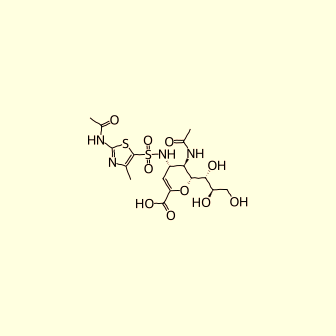 CC(=O)Nc1nc(C)c(S(=O)(=O)N[C@H]2C=C(C(=O)O)O[C@@H]([C@H](O)[C@H](O)CO)[C@@H]2NC(C)=O)s1